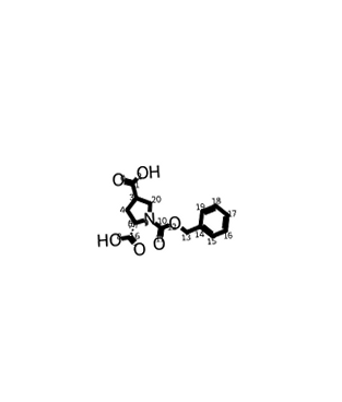 O=C(O)C1C[C@@H](C(=O)O)N(C(=O)OCc2ccccc2)C1